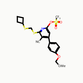 COCOc1ccc(-c2cc(OS(=O)(=O)C(F)(F)F)nc(SCSC3CCC3)c2C#N)cc1